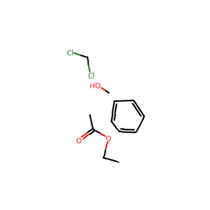 CCOC(C)=O.CO.ClCCl.c1ccccc1